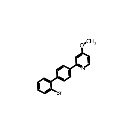 COc1ccnc(-c2ccc(-c3ccccc3Br)cc2)c1